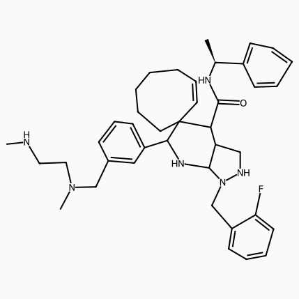 CNCCN(C)Cc1cccc(C2NC3C(CNN3Cc3ccccc3F)C(C(=O)N[C@@H](C)c3ccccc3)C23/C=C\CCCCC3)c1